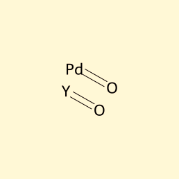 [O]=[Pd].[O]=[Y]